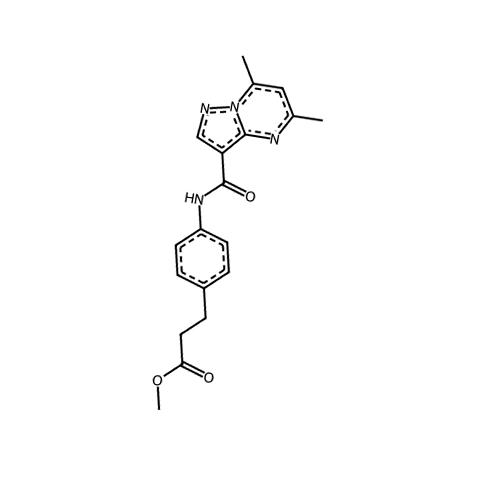 COC(=O)CCc1ccc(NC(=O)c2cnn3c(C)cc(C)nc23)cc1